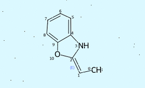 [CH]/C=C1\Nc2ccccc2O1